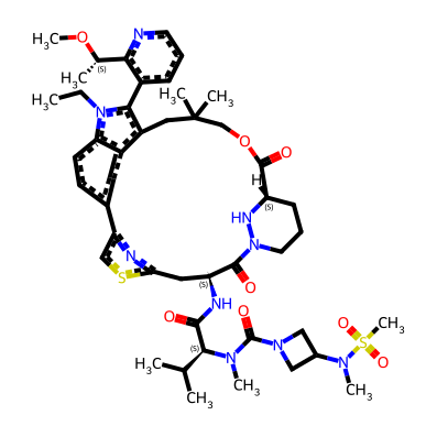 CCn1c(-c2cccnc2[C@H](C)OC)c2c3cc(ccc31)-c1csc(n1)C[C@H](NC(=O)[C@H](C(C)C)N(C)C(=O)N1CC(N(C)S(C)(=O)=O)C1)C(=O)N1CCC[C@H](N1)C(=O)OCC(C)(C)C2